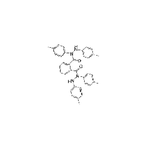 Cc1ccc(NN(C(=O)c2ccccc2C(=O)N(Nc2ccc(C)cc2)c2ccc(C)cc2)c2ccc(C)cc2)cc1